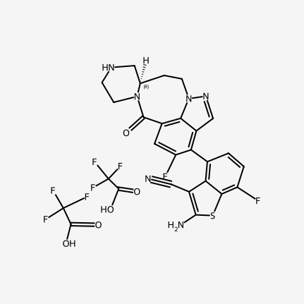 N#Cc1c(N)sc2c(F)ccc(-c3c(F)cc4c5c3cnn5CC[C@@H]3CNCCN3C4=O)c12.O=C(O)C(F)(F)F.O=C(O)C(F)(F)F